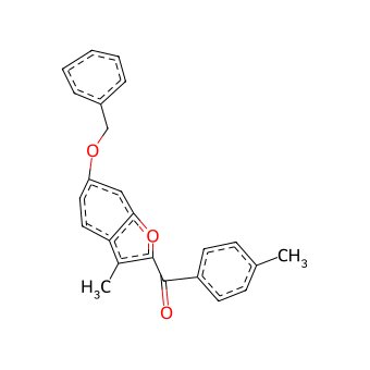 Cc1ccc(C(=O)c2oc3cc(OCc4ccccc4)ccc3c2C)cc1